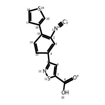 [C-]#[N+]c1cc(-c2cc(C(=O)O)sn2)ccc1-c1ccsc1